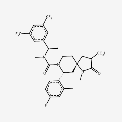 Cc1cc(F)ccc1[C@H]1C[C@@]2(CCN1C(=O)N(C)[C@H](C)c1cc(C(F)(F)F)cc(C(F)(F)F)c1)CC(C(=O)O)C(=O)N2C